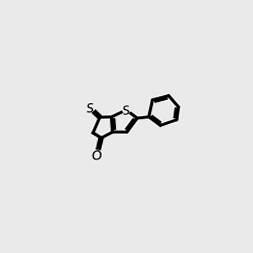 O=C1CC(=S)c2sc(-c3ccccc3)cc21